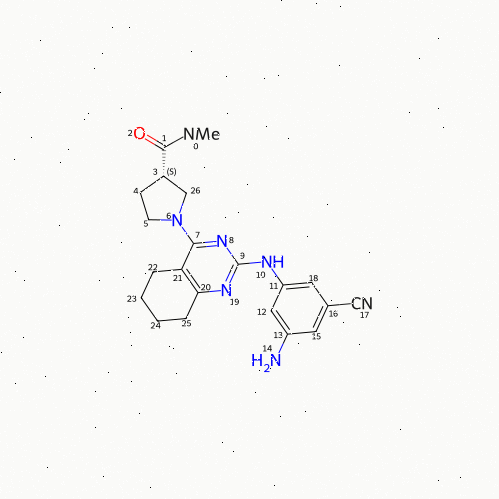 CNC(=O)[C@H]1CCN(c2nc(Nc3cc(N)cc(C#N)c3)nc3c2CCCC3)C1